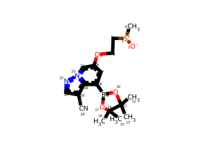 C[S+]([O-])CCOc1cc(B2OC(C)(C)C(C)(C)O2)c2c(C#N)cnn2c1